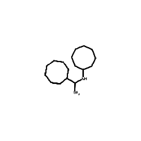 BC(NC1CCCCCCC1)C1CCCCCCC1